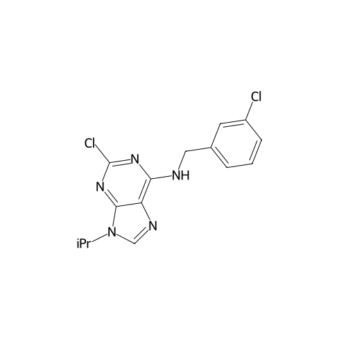 CC(C)n1cnc2c(NCc3cccc(Cl)c3)nc(Cl)nc21